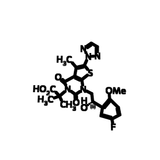 COc1ccc(F)cc1[C@H](O)Cn1c(=O)n(C(C)(C)C(=O)O)c(=O)c2c(C)c(-n3nccn3)sc21